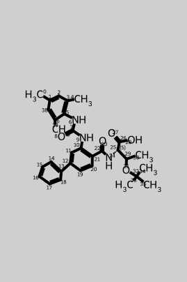 Cc1cc(C)c(NC(=O)Nc2cc(-c3ccccc3)ccc2C(=O)N[C@H](C(=O)O)C(C)OC(C)(C)C)c(C)c1